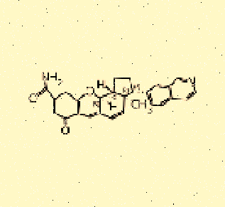 C[C@]12C=CC3=CC4=C(CC(C(N)=O)CC4=O)O[C@H]3[C@@H]1CC[C@@H]2c1ccc2ccncc2c1